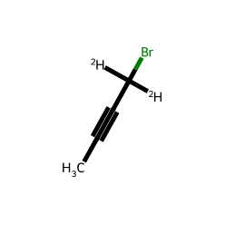 [2H]C([2H])(Br)C#CC